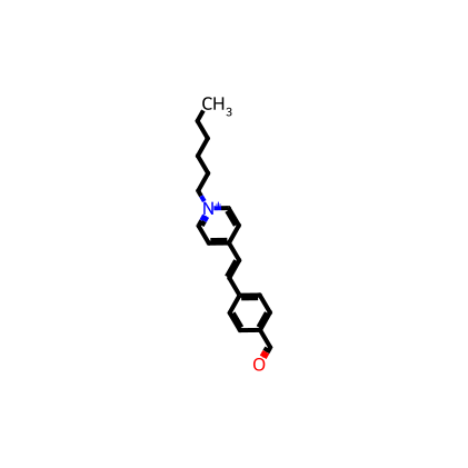 CCCCCC[n+]1ccc(C=Cc2ccc(C=O)cc2)cc1